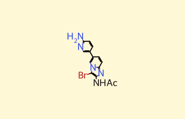 CC(=O)Nc1nc2ccc(-c3ccc(N)nc3)cn2c1Br